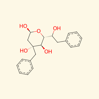 OC(Cc1ccccc1)[C@H]1O[C@H](O)C[C@](O)(Cc2ccccc2)[C@@H]1O